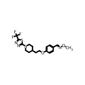 CON=Cc1ccc(OCCC2CCN(c3nnc(C(F)(F)F)s3)CC2)cc1